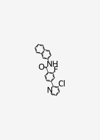 O=C(Nc1ccc2ccccc2c1)c1ccc(-c2ncccc2Cl)cc1F